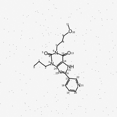 CCCn1c(=O)n(CCCOC)c(=O)c2[nH]c(-c3cccnc3)nc21